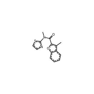 Cc1c(C(=O)N(C)c2nccs2)oc2ccccc12